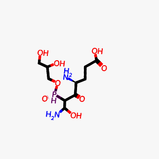 NC(O)C(C(=O)[C@@H](N)CCC(=O)O)[PH](=O)OCC(O)CO